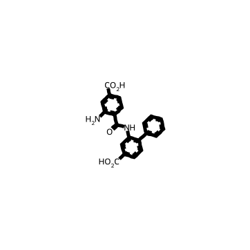 Nc1cc(C(=O)O)ccc1C(=O)Nc1cc(C(=O)O)ccc1-c1ccccc1